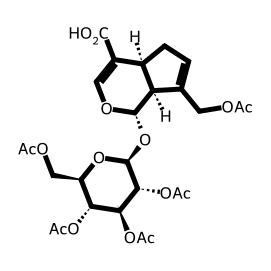 CC(=O)OCC1=CC[C@@H]2C(C(=O)O)=CO[C@@H](O[C@@H]3O[C@H](COC(C)=O)[C@@H](OC(C)=O)[C@H](OC(C)=O)[C@H]3OC(C)=O)[C@H]12